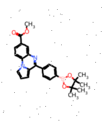 COC(=O)c1ccc2c(c1)nc(-c1ccc(B3OC(C)(C)C(C)(C)O3)cc1)c1cccn12